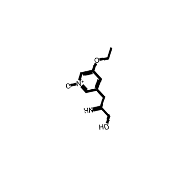 CCOc1cc(CC(=N)CO)c[n+]([O-])c1